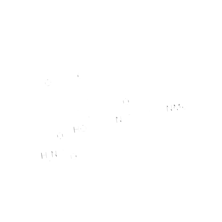 CNCCCC(=O)N1CCCC([C@@](O)(CCCOC(N)=O)c2cccc(Cl)c2-c2ccc3c(c2)OCC3)C1